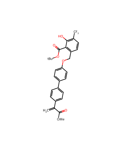 C=C(C(=O)OC)c1ccc(-c2ccc(OCc3ccc(C(F)(F)F)c(O)c3C(=O)OC(C)(C)C)cc2)cc1